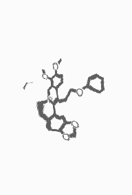 COc1ccc2c(CCOc3ccccc3)c3[n+](cc2c1OC)CCc1cc2c(cc1-3)OCO2.[I-]